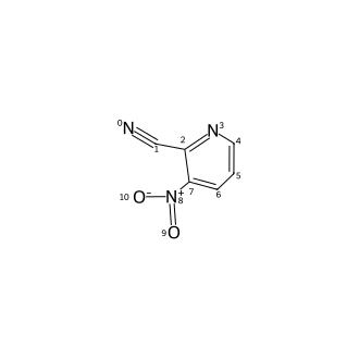 N#Cc1ncccc1[N+](=O)[O-]